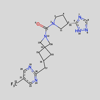 O=C(N1CC[C@H](c2ncn[nH]2)C1)N1CC2(CC(Cc3ncc(C(F)(F)F)cn3)C2)C1